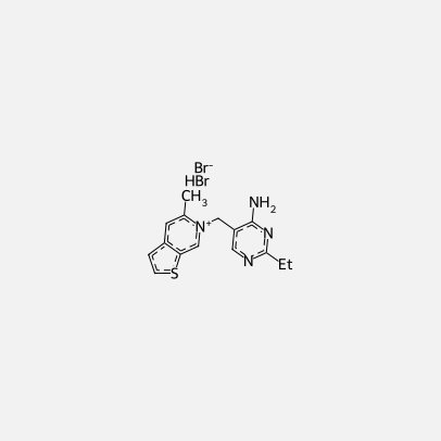 Br.CCc1ncc(C[n+]2cc3sccc3cc2C)c(N)n1.[Br-]